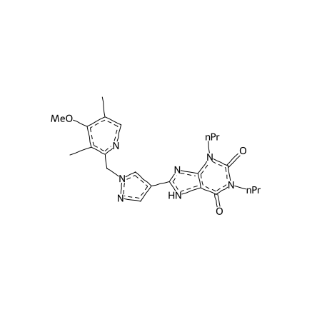 CCCn1c(=O)c2[nH]c(-c3cnn(Cc4ncc(C)c(OC)c4C)c3)nc2n(CCC)c1=O